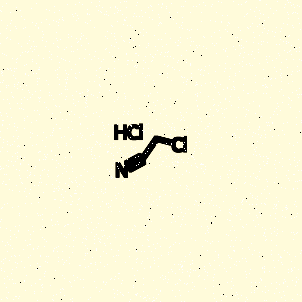 Cl.N#CCCl